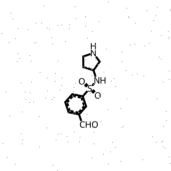 O=Cc1cccc(S(=O)(=O)NC2CCNC2)c1